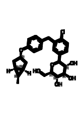 C[C@H]1[C@H]2C[C@@H](Oc3ccc(Cc4cc(C5O[C@H](CO)[C@@H](O)[C@H](O)[C@H]5O)ccc4Cl)cc3)C[C@@H]12